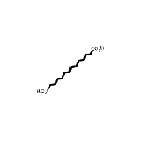 O=C(O)CCCCCC=CCCCCCC(=O)O